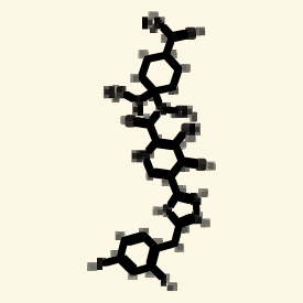 CNC1(N(C)C(=O)c2[nH]cc(-c3nnc(Cc4ccc(F)cc4F)s3)c(=O)c2O)CCC(C(N)=O)CC1